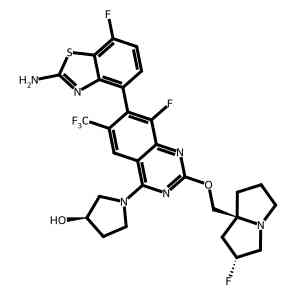 Nc1nc2c(-c3c(C(F)(F)F)cc4c(N5CC[C@@H](O)C5)nc(OC[C@@]56CCCN5C[C@H](F)C6)nc4c3F)ccc(F)c2s1